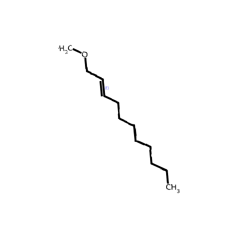 [CH2]OC/C=C/CCCCCCCC